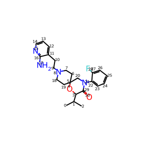 CC(C)C1OC2(CCN(CCc3cccnc3N)CC2)CN(c2ccccc2F)C1=O